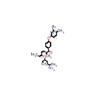 C=C/C=C(\C=C/C(=C)N)Oc1ccc(C(=O)C(=C)/C=C\C(=C/C)O/C(C=C)=C/C=C(\C)N)cc1